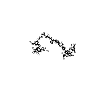 CCCOc1cc(OCCCCN(C)CC(=O)NCC(=O)NCCN2CCN(c3ccc(-c4cc(NC(C)C)c(C=N)c(C(=O)NCc5c(C)cc(C)[nH]c5=O)c4)cn3)CC2)cc(Oc2cc3c(cc2N)n(C)c(=O)n3C)c1